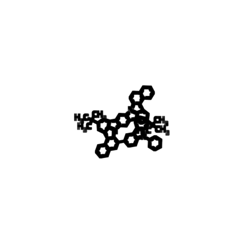 CC(C)(C)c1cc2c3cc4c(cc3n3c5ccc6ccccc6c5c(c1)c23)c1cc(C(C)(C)C)cc2c3c5ccccc5cc(-c5ccc6c(c5)c5ccccc5n6-c5ccccc5)c3n4c12